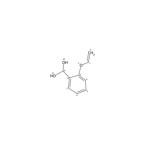 C=COc1ccccc1C(O)O